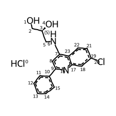 Cl.OC[C@@H](O)CNc1cc(-c2ccccc2)nc2cc(Cl)ccc12